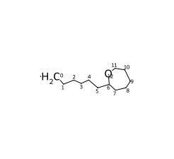 [CH2]CCCCCC1CCCCCO1